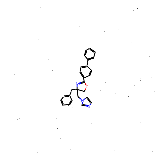 c1ccc(CC2(Cn3ccnc3)COC(c3ccc(-c4ccccc4)cc3)=N2)cc1